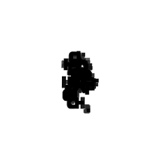 Cc1cc(-c2nc(C(F)(F)F)c(Oc3ccc(Cl)c(C(F)(F)F)c3)c(=O)[nH]2)no1